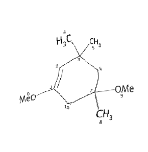 COC1=CC(C)(C)CC(C)(OC)[CH]1